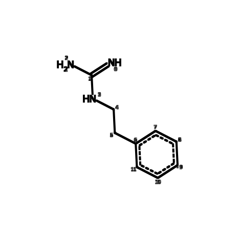 N=C(N)NCCc1cc[c]cc1